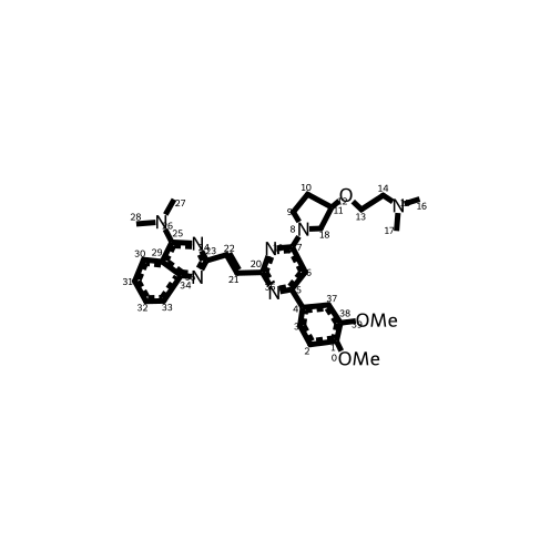 COc1ccc(-c2cc(N3CCC(OCCN(C)C)C3)nc(C=Cc3nc(N(C)C)c4ccccc4n3)n2)cc1OC